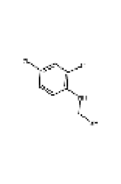 SCNc1ccc(Cl)cc1Cl